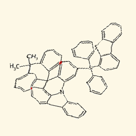 CC1(C)c2ccccc2C2(c3ccc([Si](c4ccccc4)(c4ccccc4)c4cccc5c4sc4ccccc45)cc3-n3c4ccccc4c4cccc2c43)c2ccccc21